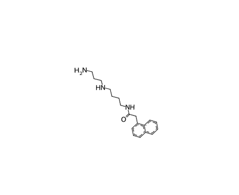 NCCCNCCCCNC(=O)Cc1cccc2ccccc12